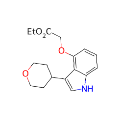 CCOC(=O)COc1cccc2[nH]cc(C3CCOCC3)c12